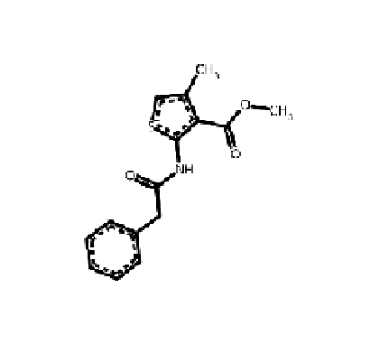 COC(=O)c1c(C)csc1NC(=O)Cc1ccccc1